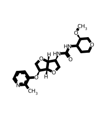 CO[C@H]1COCCC1NC(=O)N[C@H]1CO[C@H]2[C@@H]1OC[C@@H]2Oc1cccnc1C